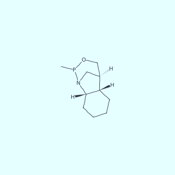 CP1OC[C@@H]2CN1[C@H]1CCCC[C@@H]21